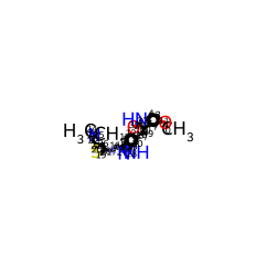 COc1ccc2c(c1)[C@]1(C[C@H]1c1ccc3c(/C=C/c4csc(CN(C)C)c4)n[nH]c3c1)C(=O)N2